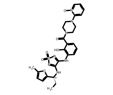 CC[C@@H](NC1=NS(=O)(=O)N=C1Nc1cccc(C(=O)N2CCN(c3cccc[n+]3[O-])CC2)c1O)c1ccc(C)o1